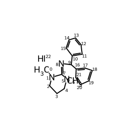 CN1CCCN(C)C1=NC(c1ccccc1)c1ccccc1.I